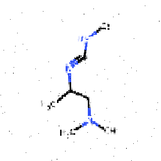 CCN/C=N/C(C)CN(C)C